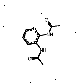 CC(=O)Nc1cccnc1NC(C)=O